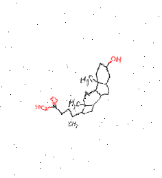 C[C@H](CCC(=O)O)C1CCC2C3CCC4C[C@H](O)CCC4(C)C3CCC21C